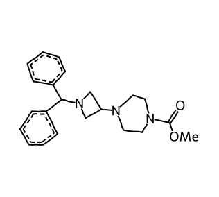 COC(=O)N1CCN(C2CN(C(c3ccccc3)c3ccccc3)C2)CC1